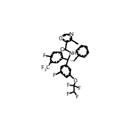 Cc1ncoc1C(=O)N[C@@](Cc1ccccc1)(c1cc(F)cc(OC(F)(F)C(F)F)c1)c1ccc(F)c(C(F)(F)F)c1